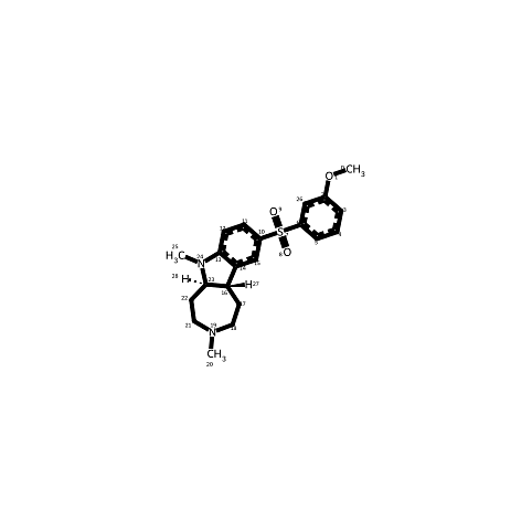 COc1cccc(S(=O)(=O)c2ccc3c(c2)[C@@H]2CCN(C)CC[C@H]2N3C)c1